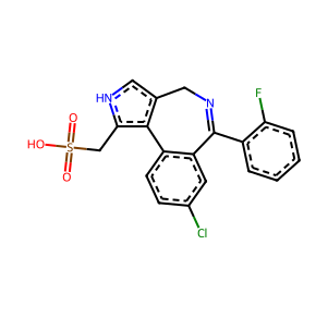 O=S(=O)(O)Cc1[nH]cc2c1-c1ccc(Cl)cc1C(c1ccccc1F)=NC2